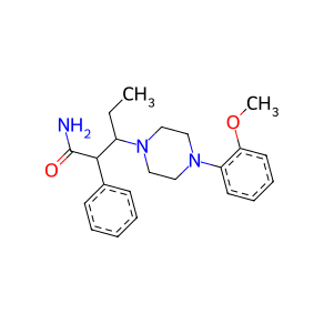 CCC(C(C(N)=O)c1ccccc1)N1CCN(c2ccccc2OC)CC1